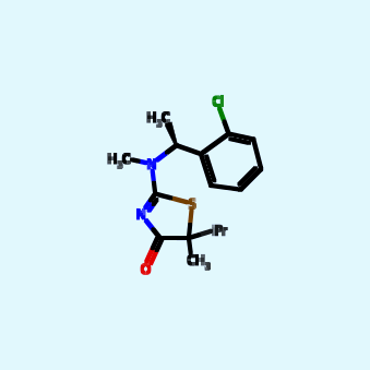 CC(C)C1(C)SC(N(C)[C@@H](C)c2ccccc2Cl)=NC1=O